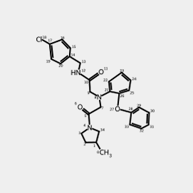 CC1CCN(C(=O)CN(CC(=O)NCc2ccc(Cl)cc2)c2ccccc2Oc2ccccc2)C1